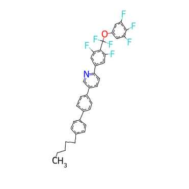 CCCCCc1ccc(-c2ccc(-c3ccc(-c4cc(F)c(C(F)(F)Oc5cc(F)c(F)c(F)c5)c(F)c4)nc3)cc2)cc1